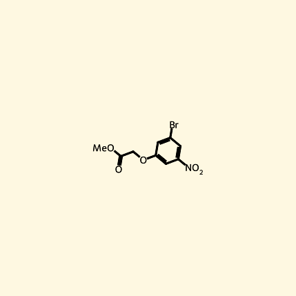 COC(=O)COc1cc(Br)cc([N+](=O)[O-])c1